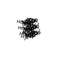 C[C@@H]1C[C@H]2[C@@H]3CCC4=CC(=O)C=C[C@]4(C)[C@@]3(F)[C@@H](O)C[C@]2(C)[C@@]1(O)C(=O)CO.C[C@]12C=CC(=O)C=C1CC[C@@H]1[C@@H]2C(=O)C[C@@]2(C)[C@H]1CC[C@]2(O)C(=O)CO.C[C@]12C=CC(=O)C=C1CC[C@@H]1[C@@H]2[C@@H](O)C[C@@]2(C)[C@H]1CC[C@]2(O)C(=O)CO